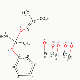 [CH2]C(CCCCCCCCC)(OC=C(C)C(=O)O)Oc1ccccc1.[CH2]C[O].[CH2]C[O].[CH2]C[O].[CH2]C[O].[CH2]C[O]